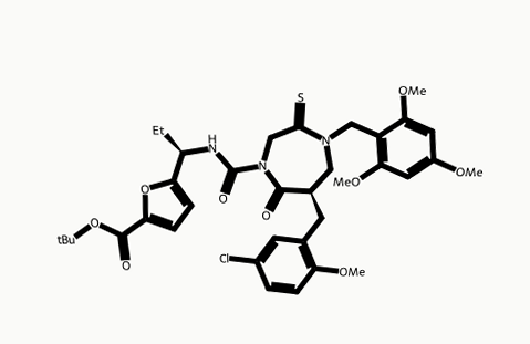 CC[C@@H](NC(=O)N1CC(=S)N(Cc2c(OC)cc(OC)cc2OC)C[C@@H](Cc2cc(Cl)ccc2OC)C1=O)c1ccc(C(=O)OC(C)(C)C)o1